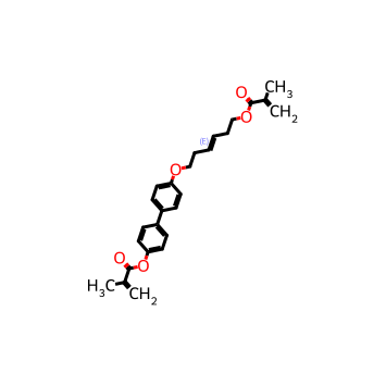 C=C(C)C(=O)OCC/C=C/CCOc1ccc(-c2ccc(OC(=O)C(=C)C)cc2)cc1